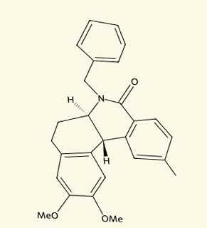 COc1cc2c(cc1OC)[C@H]1c3cc(C)ccc3C(=O)N(Cc3ccccc3)[C@@H]1CC2